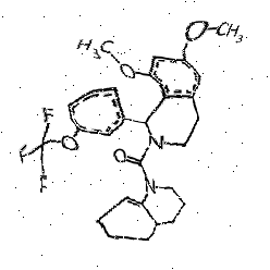 COc1cc2c(c(OC)c1)C(c1cccc(OC(F)(F)F)c1)N(C(=O)N1CCCC3CCCC=C31)CC2